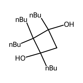 CCCCC1(O)CC(O)(CCCC)C1(CCCC)CCCC